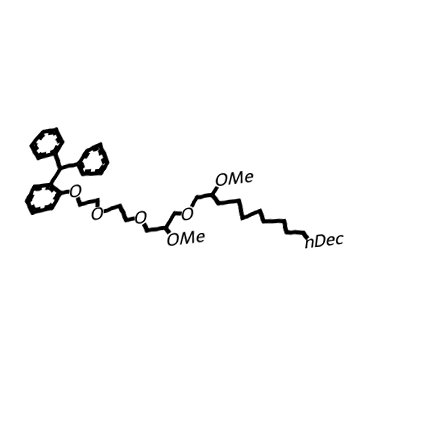 CCCCCCCCCCCCCCCCCCC(COCC(COCCOCCOc1ccccc1C(c1ccccc1)c1ccccc1)OC)OC